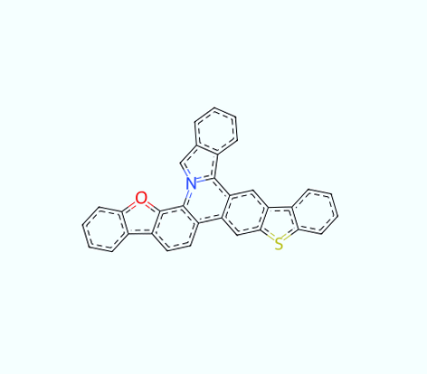 c1ccc2c(c1)cn1c2c2cc3c(cc2c2ccc4c5ccccc5oc4c21)sc1ccccc13